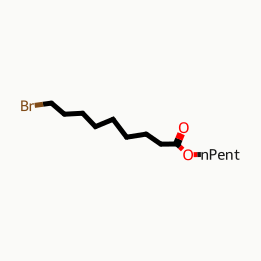 CCCCCOC(=O)CCCCCCCCBr